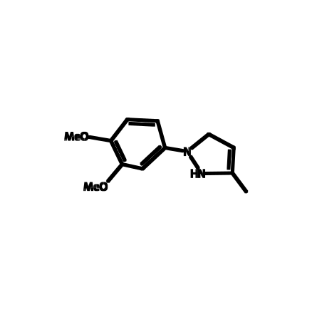 COc1ccc(N2CC=C(C)N2)cc1OC